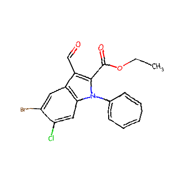 CCOC(=O)c1c(C=O)c2cc(Br)c(Cl)cc2n1-c1ccccc1